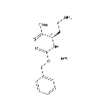 COC(=O)[C@@H](CCN)NC(=O)OCc1ccccc1.Cl